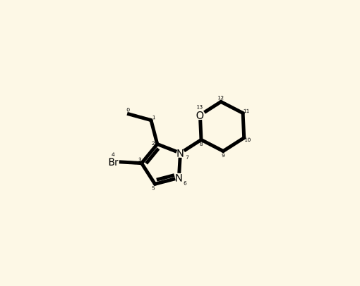 CCc1c(Br)cnn1C1CCCCO1